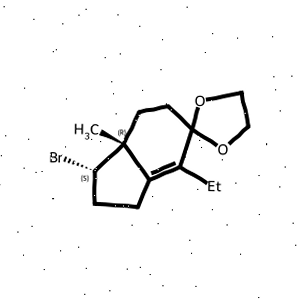 CCC1=C2CC[C@H](Br)[C@]2(C)CCC12OCCO2